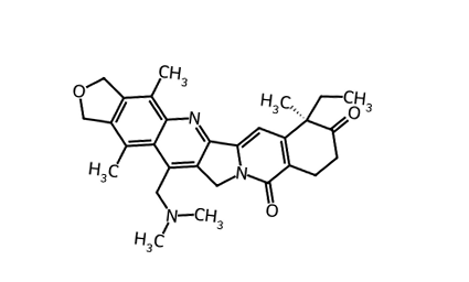 CC[C@@]1(C)C(=O)CCc2c1cc1n(c2=O)Cc2c-1nc1c(C)c3c(c(C)c1c2CN(C)C)COC3